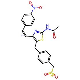 CC(=O)Nc1nc(/C=C\c2ccc([N+](=O)[O-])cc2)c(Cc2ccc(C[SH](=O)=O)cc2)s1